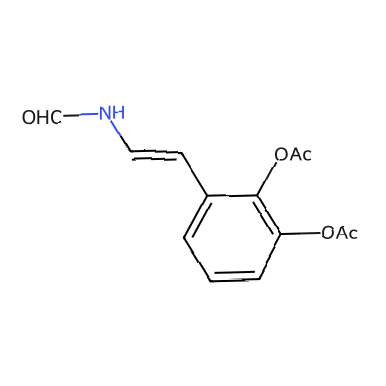 CC(=O)Oc1cccc(/C=C/NC=O)c1OC(C)=O